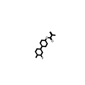 C=C(C)C(=O)OC1CCC(C2CCC(C)C(F)C2)CC1